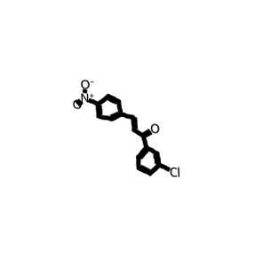 O=C(C=Cc1ccc([N+](=O)[O-])cc1)c1cccc(Cl)c1